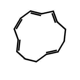 [CH]1/C=C/C=C\C=C\C=C\CC/C=C/C1